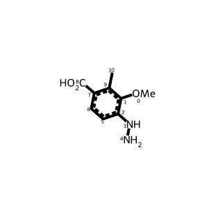 COc1c(NN)ccc(C(=O)O)c1C